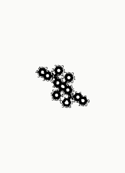 C1=CC(N(c2ccc3ccccc3c2)c2ccc3c(-c4ccccc4)c4cc(N(c5ccccc5)c5ccc6ccccc6c5)ccc4c(-c4ccccc4)c3c2)=CCC1